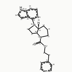 O=C(OCCc1ccccc1)N1CCC[C@@H]2C1CCN2c1ncnc2[nH]ccc12